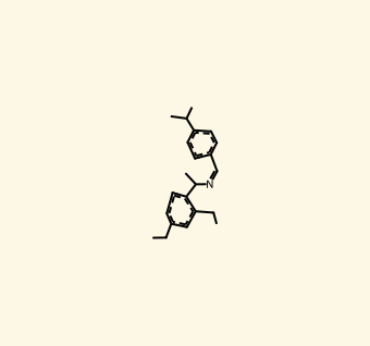 CCc1ccc(C(C)/N=C\c2ccc(C(C)C)cc2)c(CC)c1